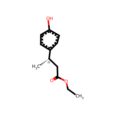 CCOC(=O)C[C@H](C)c1ccc(O)cc1